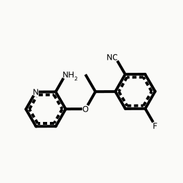 CC(Oc1cccnc1N)c1cc(F)ccc1C#N